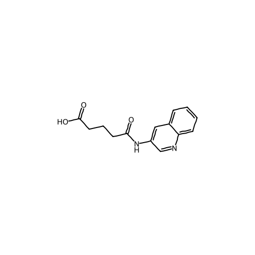 O=C(O)CCCC(=O)Nc1cnc2ccccc2c1